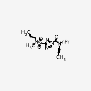 C=CCN(C)S(=O)(=O)c1ncn(C(=O)N(C#CC)CCC)n1